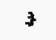 O=C(Cn1cnc([N+](=O)O)n1)N/N=C/c1ccc(O)cc1O